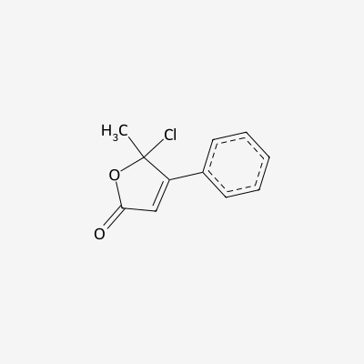 CC1(Cl)OC(=O)C=C1c1ccccc1